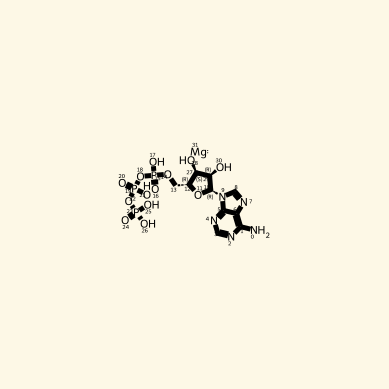 Nc1ncnc2c1ncn2[C@@H]1O[C@H](COP(=O)(O)OP(=O)(O)OP(=O)(O)O)[C@@H](O)[C@H]1O.[Mg]